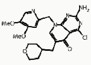 COc1cnc(Cn2cc(CC3CCOCC3)c(=O)c3c(Cl)nc(N)nc32)cc1OC